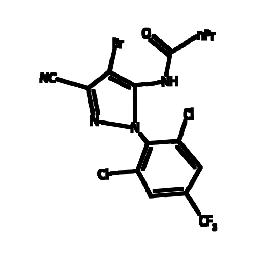 CCCC(=O)Nc1c(Br)c(C#N)nn1-c1c(Cl)cc(C(F)(F)F)cc1Cl